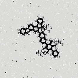 C=Cc1c(C=C)c(-c2ccc3cc(-c4cc5c(ccc6c7ccccc7oc56)c5c4C(C)(C)c4ccccc4-5)ccc3c2)c(=C/C)/c(=C\C)c1-c1ccccc1